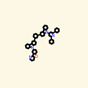 c1ccc(-c2cc(-n3c4ccccc4c4cc(-c5cccc(-c6ccc7c(c6)c6ccccc6n7-c6ccc7oc8cccnc8c7c6)c5)ccc43)cc(-c3ccccc3)n2)cc1